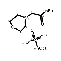 CCCCC(=O)C[S+]1CCOCC1.CCCCCCCCS(=O)(=O)[O-]